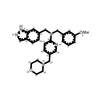 COc1cccc(CN(Cc2ccc3cn[nH]c3c2)c2ccc(CN3CCOCC3)cn2)c1